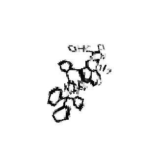 Cc1nc(Cl)c(C=O)n1Cc1c2ccocc-2c(Br)c1-c1ccccc1-c1nnn(C(c2ccccc2)(c2ccccc2)c2ccccc2)n1